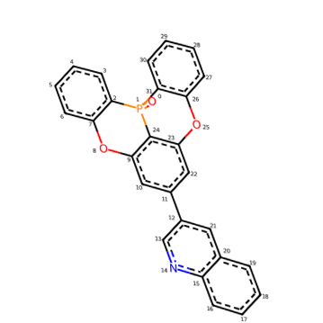 O=P12c3ccccc3Oc3cc(-c4cnc5ccccc5c4)cc(c31)Oc1ccccc12